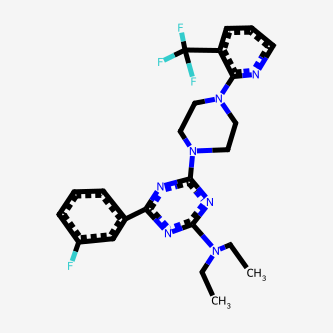 CCN(CC)c1nc(-c2cccc(F)c2)nc(N2CCN(c3ncccc3C(F)(F)F)CC2)n1